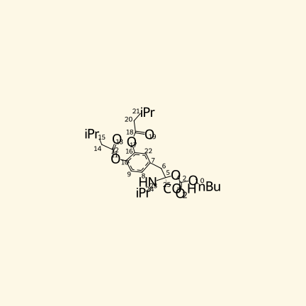 CCCCOC(=O)O[C@](Cc1ccc(OC(=O)CC(C)C)c(OC(=O)CC(C)C)c1)(NC(C)C)C(=O)O